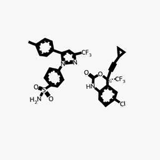 Cc1ccc(-c2cc(C(F)(F)F)nn2-c2ccc(S(N)(=O)=O)cc2)cc1.O=C1Nc2ccc(Cl)cc2[C@@](C#CC2CC2)(C(F)(F)F)O1